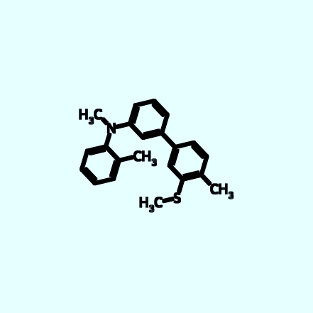 CSc1cc(-c2cccc(N(C)c3ccccc3C)c2)ccc1C